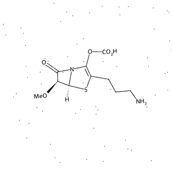 CO[C@H]1C(=O)N2C(OC(=O)O)=C(CCCN)S[C@@H]12